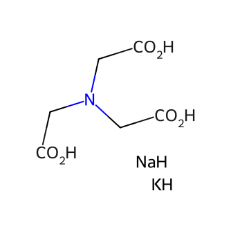 O=C(O)CN(CC(=O)O)CC(=O)O.[KH].[NaH]